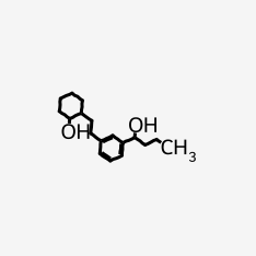 CCCC(O)c1cccc(CCC2CCCCC2O)c1